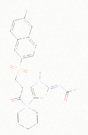 Cn1cc([N+]2(C(=O)CCS(=O)(=O)c3ccc4cc(Cl)ccc4c3)CCCCC2)s/c1=N\C(=O)[O-]